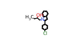 CCC(O)Cn1c(-c2ccc(Cl)cc2)cc2ccccc21